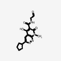 Cn1c(=O)c(C(=O)NCC=O)c(O)c2cc(C3CCCC3)nnc21